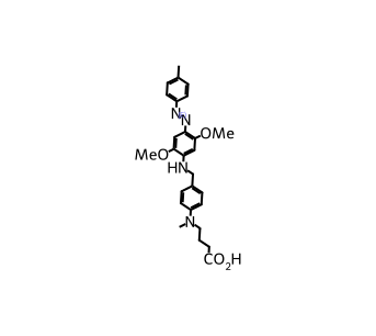 COc1cc(NCc2ccc(N(C)CCCC(=O)O)cc2)c(OC)cc1/N=N/c1ccc(C)cc1